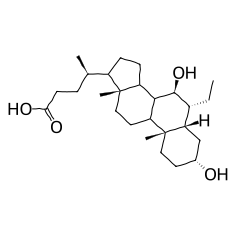 CC[C@H]1[C@H](O)C2C3CCC([C@H](C)CCC(=O)O)[C@@]3(C)CCC2[C@@]2(C)CC[C@@H](O)C[C@@H]12